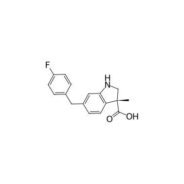 C[C@]1(C(=O)O)CNc2cc(Cc3ccc(F)cc3)ccc21